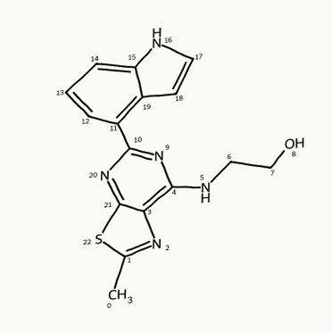 Cc1nc2c(NCCO)nc(-c3cccc4[nH]ccc34)nc2s1